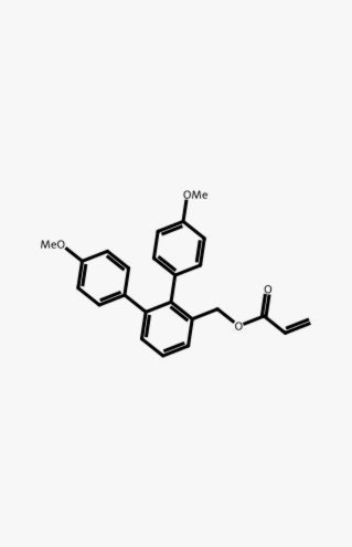 C=CC(=O)OCc1cccc(-c2ccc(OC)cc2)c1-c1ccc(OC)cc1